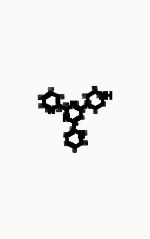 c1ccc(-c2cc(N3CCNCC3)nc(-c3ccccn3)n2)nc1